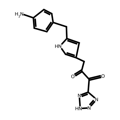 Nc1ccc(Cc2cc(CC(=O)C(=O)c3nn[nH]n3)c[nH]2)cc1